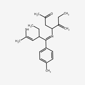 C=C(CC)C(CC(C)=O)/N=C(/c1ccc(C)cc1)C(/C=C(/C)S)CC